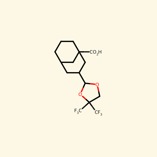 O=C(O)C12CCCC(CC(C3OCC(C(F)(F)F)(C(F)(F)F)O3)C1)C2